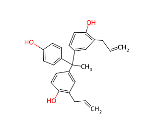 C=CCc1cc(C(C)(c2ccc(O)cc2)c2ccc(O)c(CC=C)c2)ccc1O